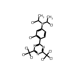 CC(Cl)N(c1ccc(-c2nc(C(Cl)(Cl)Cl)nc(C(Cl)(Cl)Cl)n2)c(Cl)c1)C(C)Cl